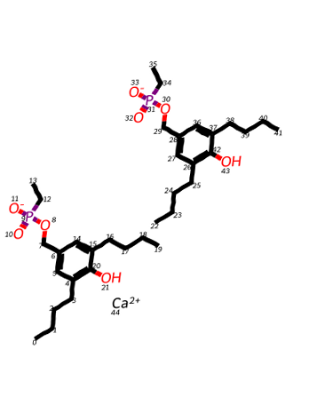 CCCCc1cc(COP(=O)([O-])CC)cc(CCCC)c1O.CCCCc1cc(COP(=O)([O-])CC)cc(CCCC)c1O.[Ca+2]